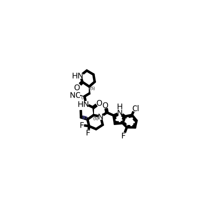 C/C=C1\[C@@H](C(=O)N[C@H](C#N)C[C@@H]2CCCNC2=O)N(C(=O)c2cc3c(F)ccc(Cl)c3[nH]2)CCC1(F)F